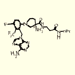 CCCNC(=O)CCNC(=O)[C@@]1(N)CCN(c2ccc(F)c(C(F)(F)F)c2Cn2cnc3c(N)ncnc32)C1